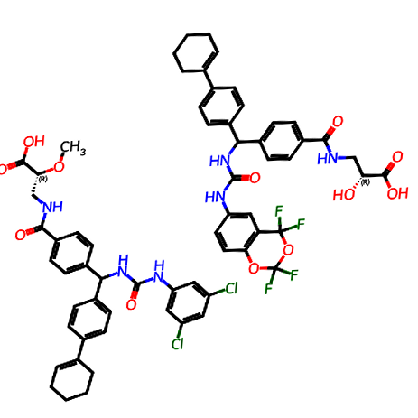 CO[C@H](CNC(=O)c1ccc(C(NC(=O)Nc2cc(Cl)cc(Cl)c2)c2ccc(C3=CCCCC3)cc2)cc1)C(=O)O.O=C(Nc1ccc2c(c1)C(F)(F)OC(F)(F)O2)NC(c1ccc(C(=O)NC[C@@H](O)C(=O)O)cc1)c1ccc(C2=CCCCC2)cc1